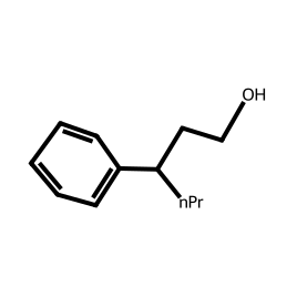 CCCC(CCO)c1ccccc1